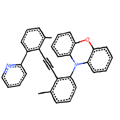 Cc1cccc(-c2ccccn2)c1C#Cc1c(C)cccc1N1c2ccccc2Oc2ccccc21